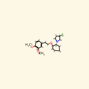 COc1ccc(CCOC2CCCC[C@H]2N2CCC(F)C2)cc1OC